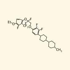 CCOc1ccc(OC(F)(F)COc2ccc(C3CCC(C4CCC(C)CC4)CC3)c(F)c2F)c(C(F)(F)F)c1F